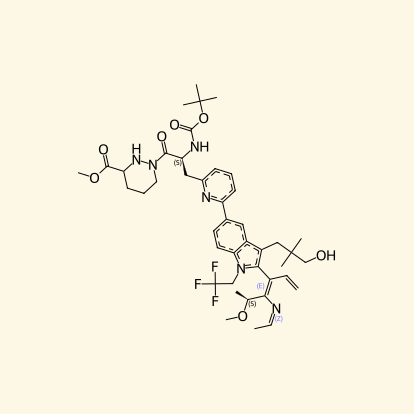 C=C/C(=C(\N=C/C)[C@H](C)OC)c1c(CC(C)(C)CO)c2cc(-c3cccc(C[C@H](NC(=O)OC(C)(C)C)C(=O)N4CCCC(C(=O)OC)N4)n3)ccc2n1CC(F)(F)F